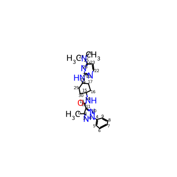 Cc1nn(-c2ccccc2)nc1C(=O)NC1CCC(Nc2nccc(N(C)C)n2)CC1